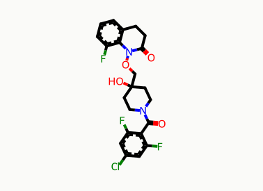 O=C(c1c(F)cc(Cl)cc1F)N1CCC(O)(CON2C(=O)CCc3cccc(F)c32)CC1